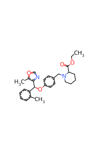 CCOC(=O)C1CCCCN1Cc1ccc(O[C@@H](c2ccccc2C)c2ncoc2C)cc1